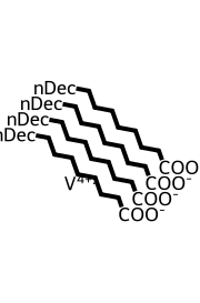 CCCCCCCCCCCCCCCCCC(=O)[O-].CCCCCCCCCCCCCCCCCC(=O)[O-].CCCCCCCCCCCCCCCCCC(=O)[O-].CCCCCCCCCCCCCCCCCC(=O)[O-].[V+4]